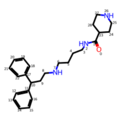 O=C(NCCCCNCCC(c1ccccc1)c1ccccc1)C1CCNCC1